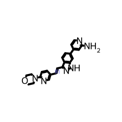 Nc1cc(-c2ccc3c(/C=C/c4ccc(N5CCOCC5)nc4)n[nH]c3c2)ccn1